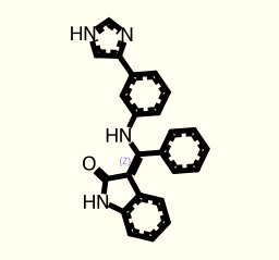 O=C1Nc2ccccc2/C1=C(/Nc1cccc(-c2c[nH]cn2)c1)c1ccccc1